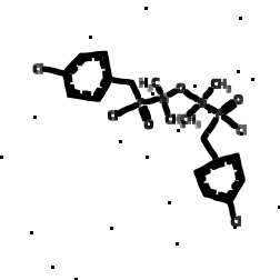 C[Si](C)(O[Si](C)(C)P(=O)(Cl)Cc1ccc(Cl)cc1)P(=O)(Cl)Cc1ccc(Cl)cc1